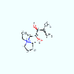 C=C(C)C(=O)C(O)C[N+]1(CC)CCCC1